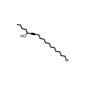 CCCCC(O)C#CCCCCCCCCCCCBr